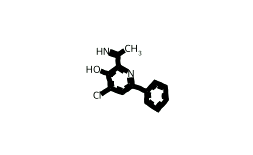 CC(=N)c1nc(-c2ccccc2)cc(Cl)c1O